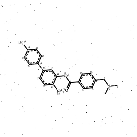 CN(C)Cc1ccc(C(=O)Nc2cc(-c3ccc([18F])cc3)ccc2N)cc1